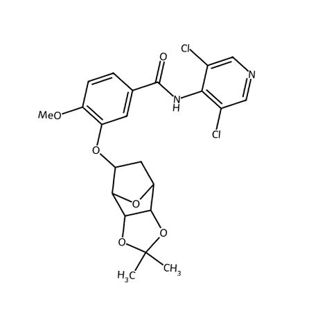 COc1ccc(C(=O)Nc2c(Cl)cncc2Cl)cc1OC1CC2OC1C1OC(C)(C)OC21